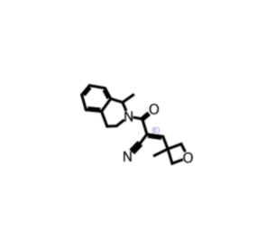 CC1c2ccccc2CCN1C(=O)/C(C#N)=C/C1(C)COC1